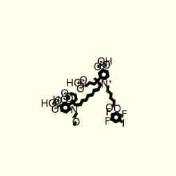 COCCN1/C(=C/C=C/C=C/C=C/C2=[N+](CCCCCC(=O)Oc3c(F)c(F)cc(I)c3F)c3ccc(S(=O)(=O)O)cc3C2(C)CCCS(=O)(=O)O)C(C)(CCCS(=O)(=O)O)c2cc(S(=O)(=O)O)ccc21